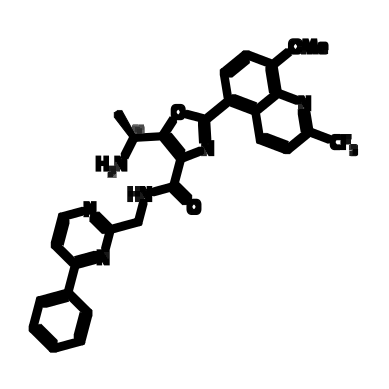 COc1ccc(-c2nc(C(=O)NCc3nccc(-c4ccccc4)n3)c([C@H](C)N)o2)c2ccc(C(F)(F)F)nc12